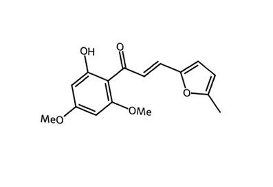 COc1cc(O)c(C(=O)C=Cc2ccc(C)o2)c(OC)c1